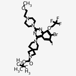 COCCN1CCN(c2nc(N3CCC4(CC3)CN(C(=O)OC(C)(C)C)C4)c3cc(I)c(Br)c(OCC(F)(F)F)c3n2)CC1